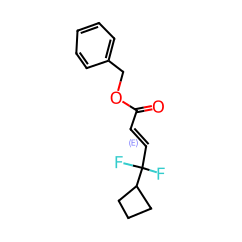 O=C(/C=C/C(F)(F)C1CCC1)OCc1ccccc1